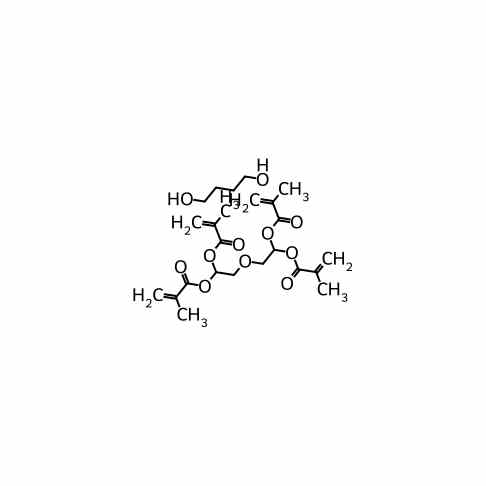 C=C(C)C(=O)OC(COCC(OC(=O)C(=C)C)OC(=O)C(=C)C)OC(=O)C(=C)C.OCCCCO